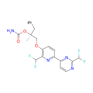 CC(C)C[C@@](C)(COc1ccc(-c2ccnc(C(F)F)n2)nc1C(F)F)OC(N)=O